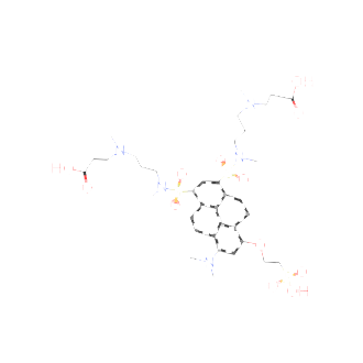 CN(CCCN(C)S(=O)(=O)c1cc(S(=O)(=O)N(C)CCCN(C)CCC(=O)O)c2ccc3c(N(C)C)cc(OCCS(=O)(=O)O)c4ccc1c2c43)CCC(=O)O